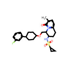 Cc1ccc2n(c1=O)C(COC1CCC(c3cccc(F)c3)CC1)C(NS(=O)(=O)C1CC1)CC2